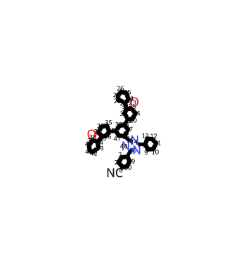 N#Cc1ccc(-c2nc(-c3ccccc3)nc(-c3cc(-c4ccc5oc6ccccc6c5c4)cc(-c4ccc5oc6ccccc6c5c4)c3)n2)cc1